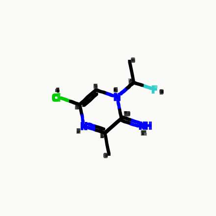 Cc1nc(Cl)cn(C(C)F)c1=N